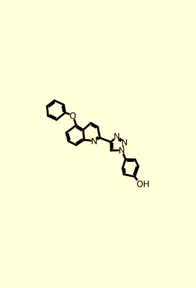 Oc1ccc(-n2cc(-c3ccc4c(Oc5ccccc5)cccc4n3)nn2)cc1